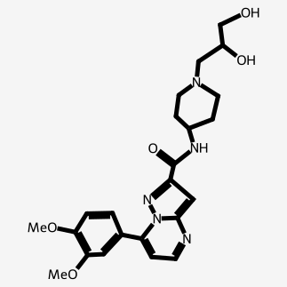 COc1ccc(-c2ccnc3cc(C(=O)NC4CCN(CC(O)CO)CC4)nn23)cc1OC